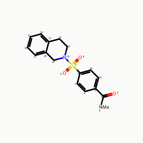 CNC(=O)c1ccc(S(=O)(=O)N2CCc3ccccc3C2)cc1